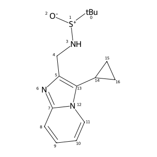 CC(C)(C)[S+]([O-])NCc1nc2ccccn2c1C1CC1